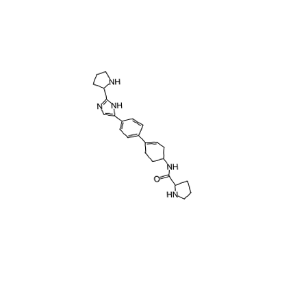 O=C(NC1CC=C(c2ccc(-c3cnc(C4CCCN4)[nH]3)cc2)CC1)C1CCCN1